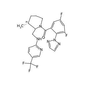 C[C@@H]1CCCN(C(=O)c2cc(F)cc(F)c2-n2nccn2)C1CNc1ccc(C(F)(F)F)cn1